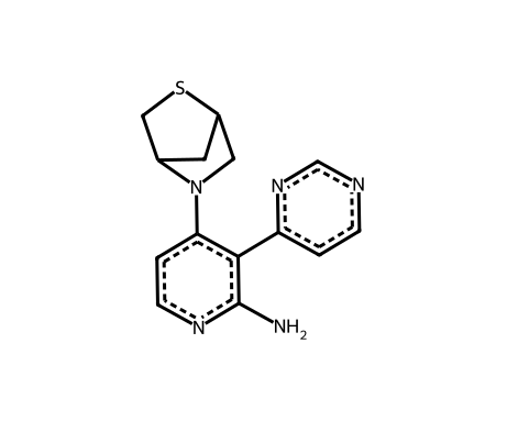 Nc1nccc(N2CC3CC2CS3)c1-c1ccncn1